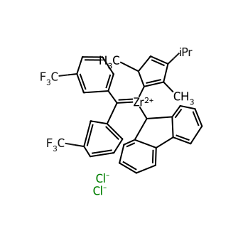 CC1=[C]([Zr+2](=[C](c2cccc(C(F)(F)F)c2)c2cccc(C(F)(F)F)c2)[CH]2c3ccccc3-c3ccccc32)C(C)C=C1C(C)C.[Cl-].[Cl-]